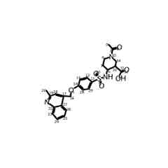 CC(=O)N1CCC(NS(=O)(=O)c2ccc(OCc3cc(C)nc4ccccc34)cc2)C(C(=O)O)C1